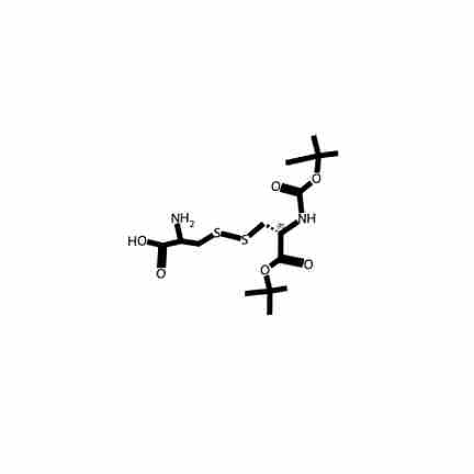 CC(C)(C)OC(=O)N[C@@H](CSSCC(N)C(=O)O)C(=O)OC(C)(C)C